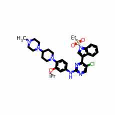 CCS(=O)(=O)n1cc(-c2nc(Nc3ccc(N4CCC(N5CCN(C)CC5)CC4)c(OC(C)C)c3)ncc2Cl)c2ccccc21